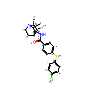 C[C@H]1[C@H](NC(=O)c2ccc(Sc3ccc(Cl)cc3)cc2)C2CCN1CC2